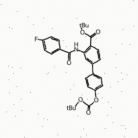 CC(C)(C)OC(=O)Oc1ccc(-c2ccc(C(=O)OC(C)(C)C)c(NC(=O)c3ccc(F)cc3)c2)cc1